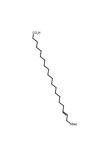 CCCCCCCCCCCC=CCCCCCCCCCCCCCCCCC(=O)O